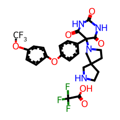 O=C(O)C(F)(F)F.O=C1NC(=O)C(c2ccc(Oc3ccc(OC(F)(F)F)cc3)cc2)(N2CCC3(CCNC3)C2)C(=O)N1